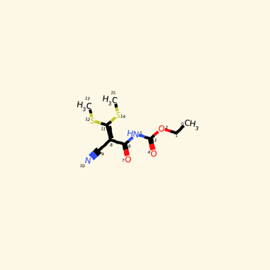 CCOC(=O)NC(=O)C(C#N)=C(SC)SC